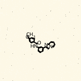 COc1ccc(C(=O)Nc2cccc(-c3cn4ccccc4n3)c2)cc1